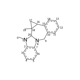 CN1c2ccccc2N2Cc3ccccc3C3CC3(C)C12